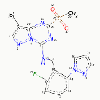 CC(C)c1cnn2c(NCc3c(F)cccc3-n3cccn3)nc(S(C)(=O)=O)nc12